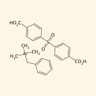 C[N+](C)(C)Cc1ccccc1.O=C(O)c1ccc(S(=O)(=O)c2ccc(C(=O)O)cc2)cc1